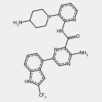 Nc1ncc(-c2cccc3[nH]c(C(F)(F)F)cc23)nc1C(=O)Nc1ncccc1N1CCC(N)CC1